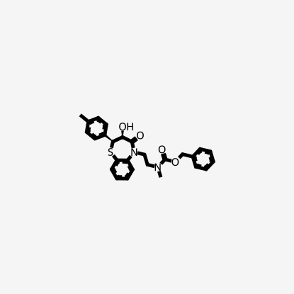 Cc1ccc([C@@H]2Sc3ccccc3N(CCN(C)C(=O)OCc3ccccc3)C(=O)[C@@H]2O)cc1